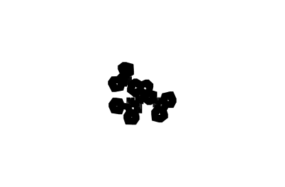 c1ccc(-c2nc(-n3c4cc(-n5c6ccccc6c6ccccc65)cc5ccc6cc(-n7c8ccccc8c8ccccc87)cc3c6c54)nc3ccccc23)cc1